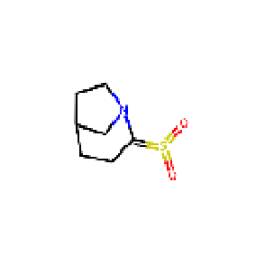 O=S(=O)=C1CCC2CCN1C2